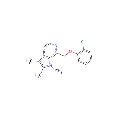 Cc1c(C)n(C)c2c(COc3ccccc3Cl)nccc12